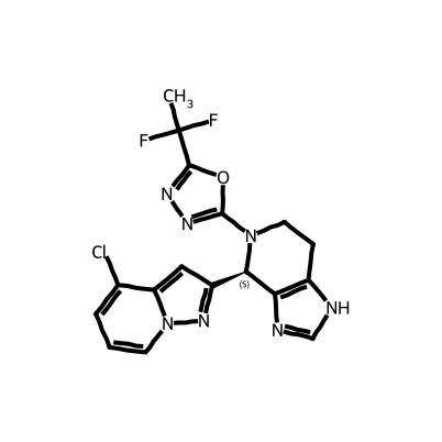 CC(F)(F)c1nnc(N2CCc3[nH]cnc3[C@H]2c2cc3c(Cl)cccn3n2)o1